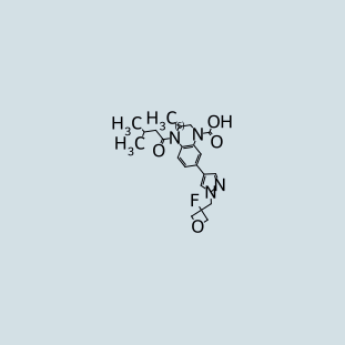 CC(C)CC(=O)N1c2ccc(-c3cnn(CC4(F)COC4)c3)cc2N(C(=O)O)C[C@@H]1C